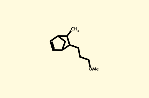 COCCCC1C2C=CC(C2)C1C